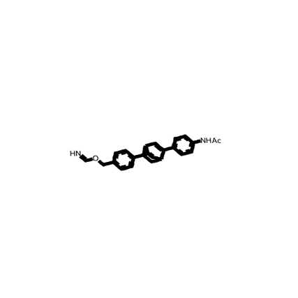 CC(=O)Nc1ccc(C2=CC3CCC2C=C3c2ccc(COC=N)cc2)cc1